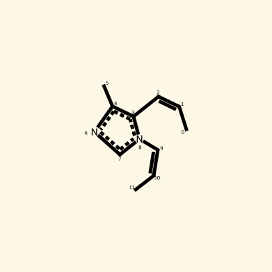 C/C=C\c1c(C)ncn1/C=C\C